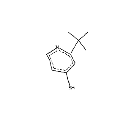 CC(C)(C)c1cc(S)ccn1